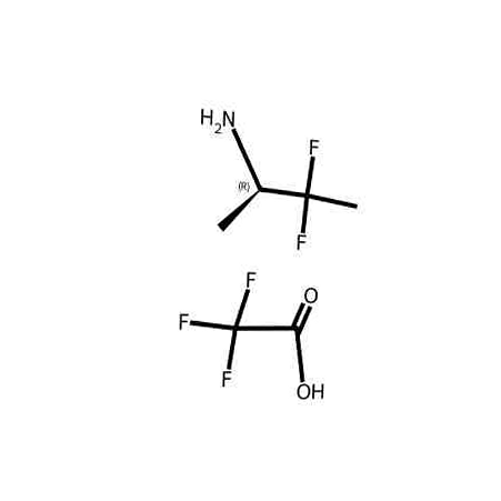 C[C@@H](N)C(C)(F)F.O=C(O)C(F)(F)F